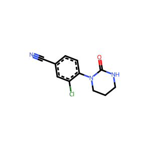 N#Cc1ccc(N2CCCNC2=O)c(Cl)c1